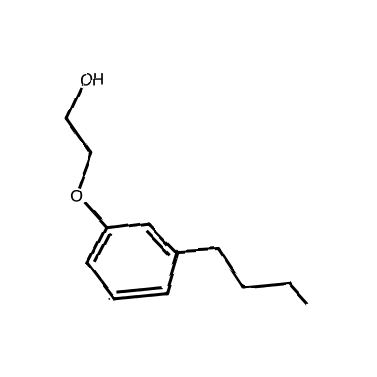 CCCCc1c[c]cc(OCCO)c1